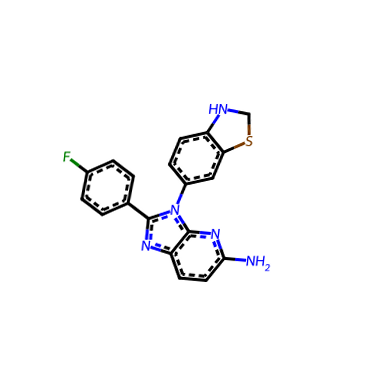 Nc1ccc2nc(-c3ccc(F)cc3)n(-c3ccc4c(c3)SCN4)c2n1